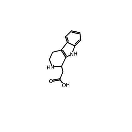 O=C(O)CC1NCCc2c1[nH]c1ccccc21